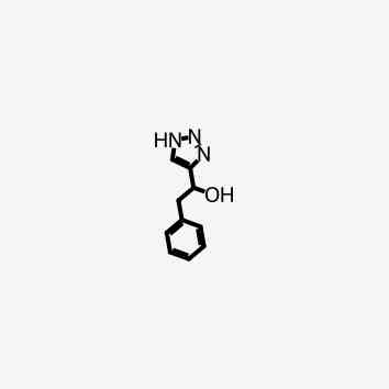 OC(Cc1ccccc1)c1c[nH]nn1